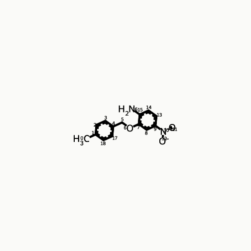 Cc1ccc(COc2cc([N+](=O)[O-])ccc2N)cc1